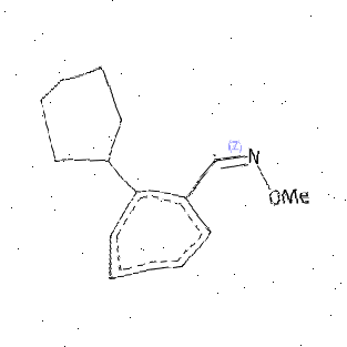 CO/N=[C]\c1ccccc1C1CCCCC1